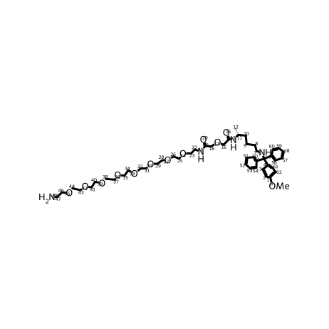 COc1ccc(C(NCCCC[C@@H](C)NC(=O)COCC(=O)NCCOCCOCCOCCOCCOCCOCCOCCOCCN)(c2ccccc2)c2ccccc2)cc1